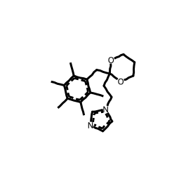 Cc1c(C)c(C)c(CC2(CCn3ccnc3)OCCCO2)c(C)c1C